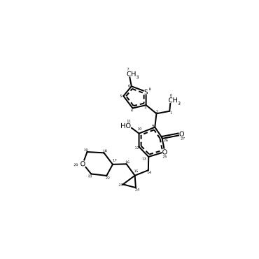 CCC(c1ccc(C)s1)c1c(O)cc(CC2(CC3CCOCC3)CC2)oc1=O